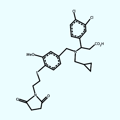 COc1cc(CN(CC2CC2)C(CC(=O)O)c2ccc(Cl)c(Cl)c2)ccc1SCCN1C(=O)CCC1=O